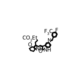 CCOC(=O)CCc1c(/C=C2\C(=O)Nc3ccc(/N=C/c4ccc(F)c(C(F)(F)F)c4)cc32)[nH]c2c1C(=O)CCC2